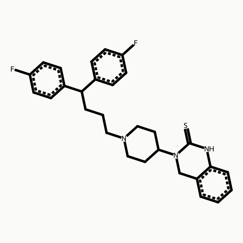 Fc1ccc(C(CCCN2CCC(N3Cc4ccccc4NC3=S)CC2)c2ccc(F)cc2)cc1